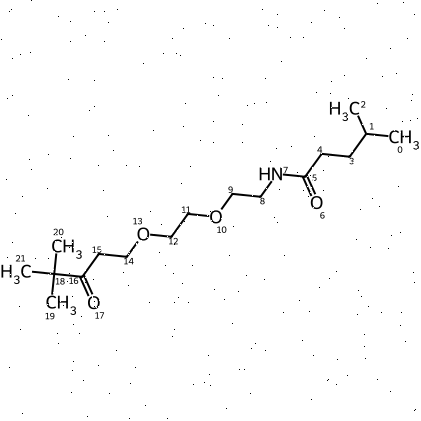 CC(C)CCC(=O)NCCOCCOCCC(=O)C(C)(C)C